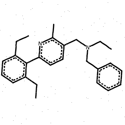 CCc1cccc(CC)c1-c1ccc(CN(CC)Cc2ccccc2)c(C)n1